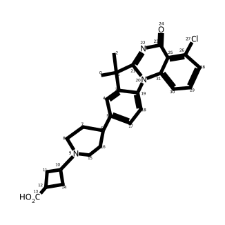 CC1(C)c2cc(C3CCN(C4CC(C(=O)O)C4)CC3)ccc2-n2c1nc(=O)c1c(Cl)cccc12